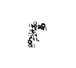 N[C@@H](Cc1ccc(O)cc1)C(=O)NCC(=O)NCC(=O)N[C@@H](Cc1c[nH]c2ccccc12)C(=O)O